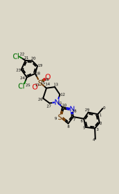 Cc1cc(C)cc(-c2csc(N3CCC(S(=O)(=O)c4ccc(Cl)cc4Cl)CC3)n2)c1